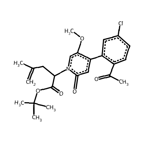 C=C(C)CC(C(=O)OC(C)(C)C)n1cc(OC)c(-c2cc(Cl)ccc2C(C)=O)cc1=O